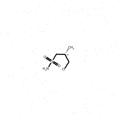 C[C@H](CCl)CS(N)(=O)=O